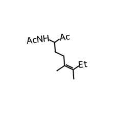 CC/C(C)=C(/C)CCC(NC(C)=O)C(C)=O